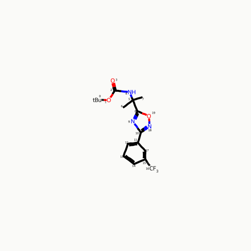 CC(C)(C)OC(=O)NC(C)(C)c1nc(-c2cccc(C(F)(F)F)c2)no1